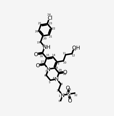 CN(CCN1CCn2c(c(CCCO)cc(C(=O)NCc3ccc(Cl)cc3)c2=O)C1=O)S(C)(=O)=O